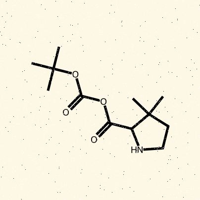 CC(C)(C)OC(=O)OC(=O)C1NCCC1(C)C